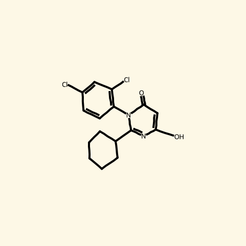 O=c1cc(O)nc(C2CCCCC2)n1-c1ccc(Cl)cc1Cl